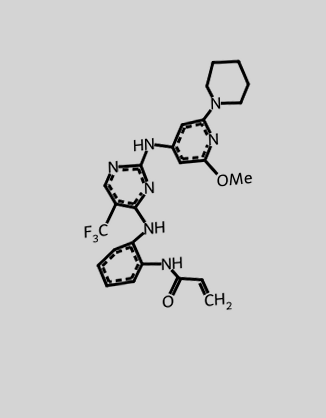 C=CC(=O)Nc1ccccc1Nc1nc(Nc2cc(OC)nc(N3CCCCC3)c2)ncc1C(F)(F)F